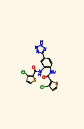 O=C(Nc1ccc(-c2nn[nH]n2)cc1NC(=O)c1sccc1Cl)c1sccc1Cl